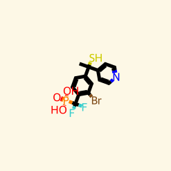 CC(S)(c1ccncc1)c1ccc(C(F)(F)P(=O)(O)O)c(Br)c1